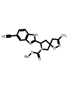 C#Cc1ccc2[nH]c(C3CC4(CC(C)=NO4)CN3C(=O)OC(C)(C)C)nc2c1